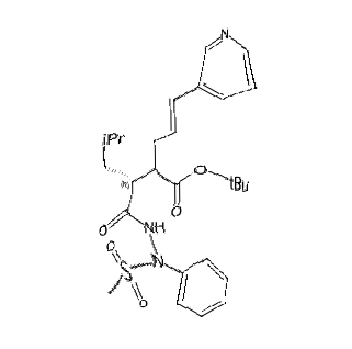 CC(C)C[C@@H](C(=O)NN(c1ccccc1)S(C)(=O)=O)C(CC=Cc1cccnc1)C(=O)OC(C)(C)C